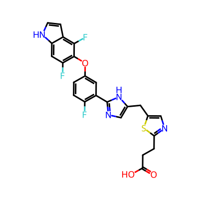 O=C(O)CCc1ncc(Cc2cnc(-c3cc(Oc4c(F)cc5[nH]ccc5c4F)ccc3F)[nH]2)s1